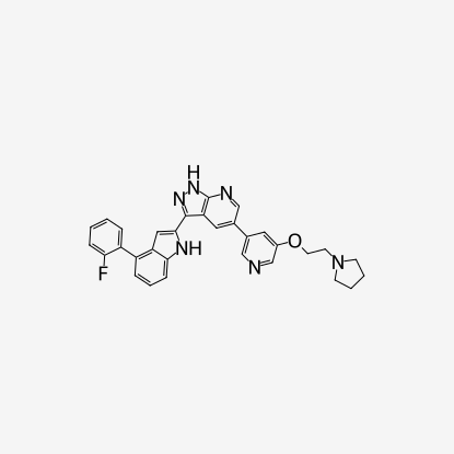 Fc1ccccc1-c1cccc2[nH]c(-c3n[nH]c4ncc(-c5cncc(OCCN6CCCC6)c5)cc34)cc12